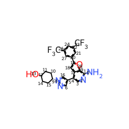 Nc1ncc(-c2cnn([C@H]3CC[C@H](O)CC3)c2)c2cc(-c3cc(C(F)(F)F)cc(C(F)(F)F)c3)oc12